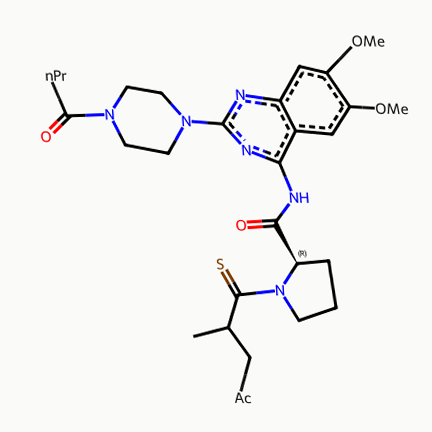 CCCC(=O)N1CCN(c2nc(NC(=O)[C@H]3CCCN3C(=S)C(C)CC(C)=O)c3cc(OC)c(OC)cc3n2)CC1